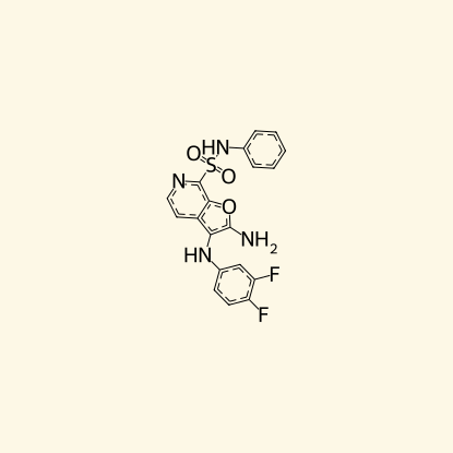 Nc1oc2c(S(=O)(=O)Nc3ccccc3)nccc2c1Nc1ccc(F)c(F)c1